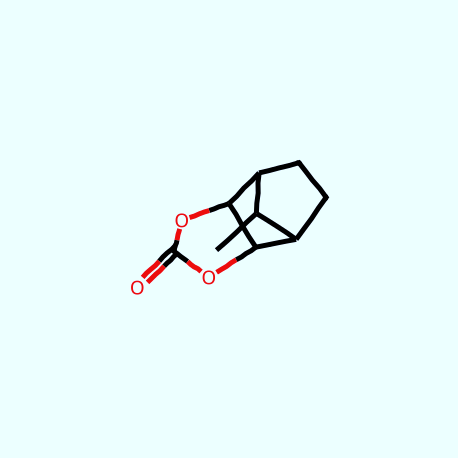 CC1C2CCC1C1OC(=O)OC21